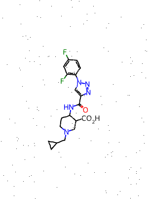 O=C(NC1CCN(CC2CC2)CC1C(=O)O)c1cn(-c2ccc(F)cc2F)nn1